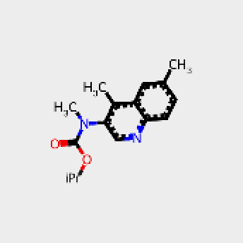 Cc1ccc2ncc(N(C)C(=O)OC(C)C)c(C)c2c1